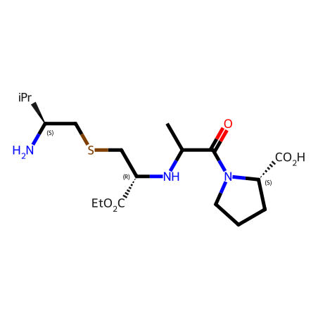 CCOC(=O)[C@H](CSC[C@@H](N)C(C)C)NC(C)C(=O)N1CCC[C@H]1C(=O)O